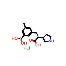 Cc1cc(C[C@H](C(=O)O)[C@H]2CCNC2)cc(B(O)O)c1.Cl